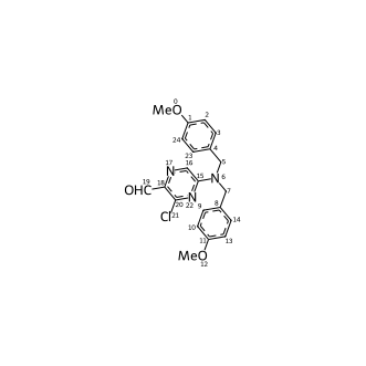 COc1ccc(CN(Cc2ccc(OC)cc2)c2cnc(C=O)c(Cl)n2)cc1